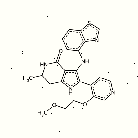 COCCOc1cnccc1-c1[nH]c2c(c1Nc1cccc3scnc13)C(=O)NC(C)C2